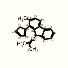 C[C](C)=[Zr][CH]1c2ccccc2-c2ccc(C)c(C3=CC=CC3)c21